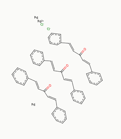 O=C(C=Cc1ccccc1)C=Cc1ccccc1.O=C(C=Cc1ccccc1)C=Cc1ccccc1.O=C(C=Cc1ccccc1)C=Cc1ccccc1.[Cl-].[Cl-].[Pd+2].[Pd].[Pd]